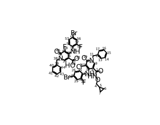 O=C(NOCC1CC1)c1cn(Cc2ccccc2)c(=O)c(Cl)c1Nc1ccc(Br)cc1F.O=C(O)c1cn(Cc2ccccc2)c(=O)c(F)c1Nc1ccc(Br)cc1F